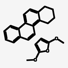 COc1ccc(OC)o1.c1ccc2c(c1)ccc1c3c(ccc12)CCCC3